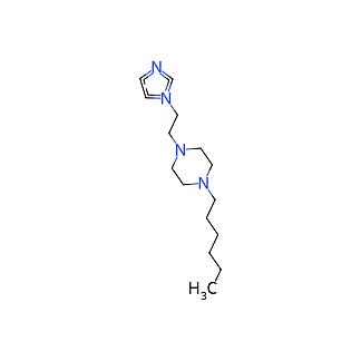 CCCCCCN1CCN(CCn2ccnc2)CC1